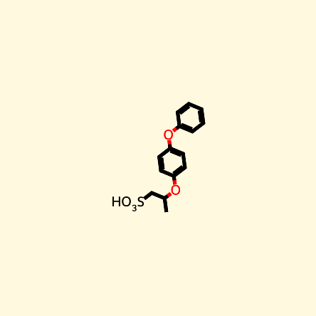 CC(CS(=O)(=O)O)Oc1ccc(Oc2ccccc2)cc1